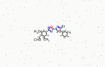 CCn1nc(-c2nc(-c3cc(C)c(CC=O)c(C)c3)no2)cc1-c1cccc(F)c1